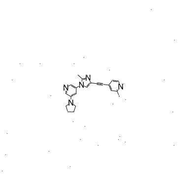 Cc1cc(C#Cc2cn(-c3cncc(N4CCCC4)c3)c(C)n2)ccn1